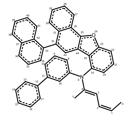 C/C=C\C=C(/C)N(c1cccc(-c2ccccc2)c1)c1cccc2oc3c4ccccc4c(-c4cccc5ccccc45)cc3c12